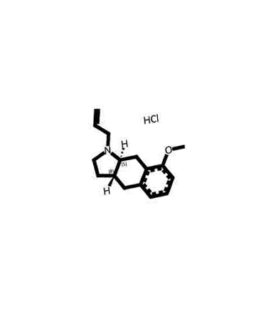 C=CCN1CC[C@H]2Cc3cccc(OC)c3C[C@@H]21.Cl